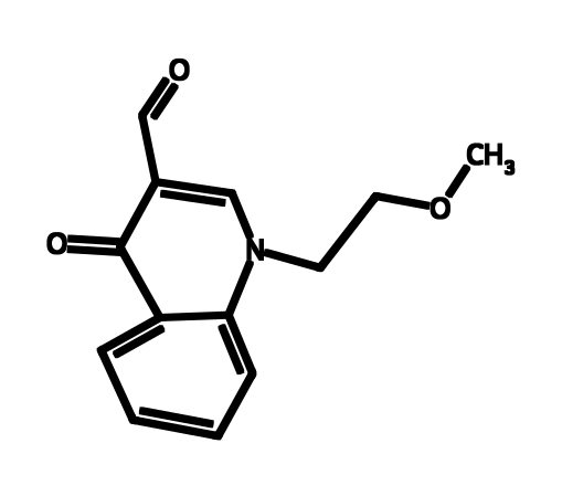 COCCn1cc(C=O)c(=O)c2ccccc21